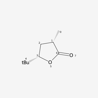 C[C@H]1C[C@@H](C(C)(C)C)OC1=O